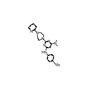 CCC(C)c1ccc(Nc2cc(N(C)C)nc(N3CCN(c4ccccn4)CC3)n2)cc1